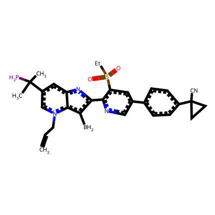 Bc1c(-c2ncc(-c3ccc(C4(C#N)CC4)cc3)cc2S(=O)(=O)CC)nc2cc(C(C)(C)P)cn(CC=C)c1-2